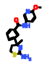 COc1ccc(NC(=O)c2cccc(C3(C)CCSC(N)=N3)c2)cn1